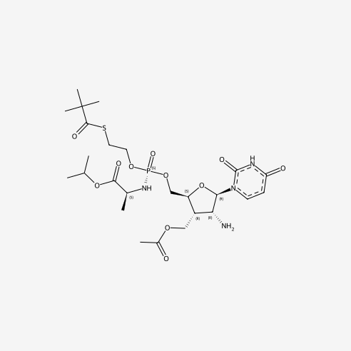 CC(=O)OC[C@H]1[C@@H](N)[C@H](n2ccc(=O)[nH]c2=O)O[C@@H]1CO[P@@](=O)(N[C@@H](C)C(=O)OC(C)C)OCCSC(=O)C(C)(C)C